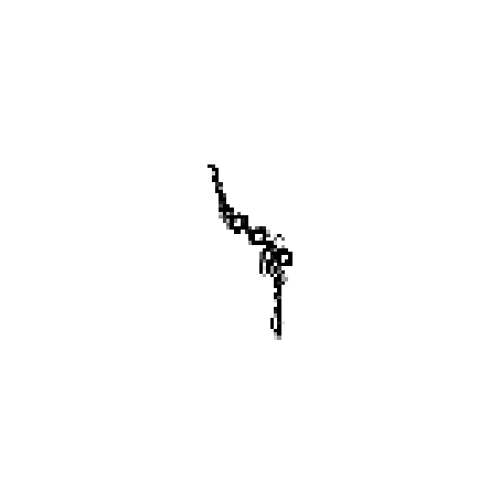 CCCCCCCCOc1ccc(-c2ccc(C(=O)OC3(C(F)(F)F)C=CC=CC3C(=O)OCCCCCCOCC)cc2)cc1